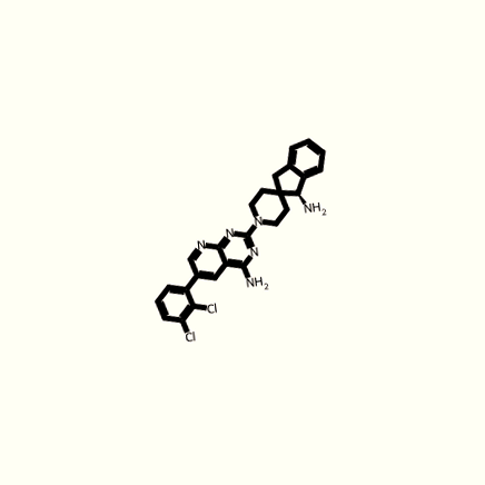 Nc1nc(N2CCC3(CC2)Cc2ccccc2[C@H]3N)nc2ncc(-c3cccc(Cl)c3Cl)cc12